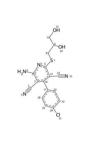 N#Cc1c(N)nc(SCC(O)CO)c(C#N)c1-c1ccc(Cl)cc1